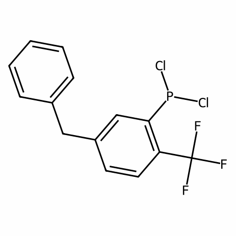 FC(F)(F)c1ccc(Cc2ccccc2)cc1P(Cl)Cl